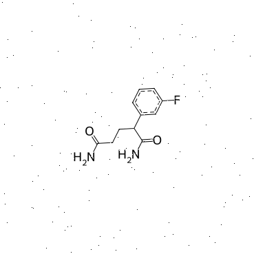 NC(=O)CCC(C(N)=O)c1cccc(F)c1